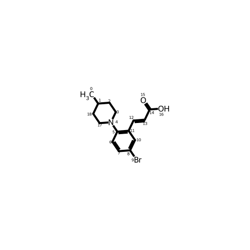 CC1CCN(c2ccc(Br)cc2C=CC(=O)O)CC1